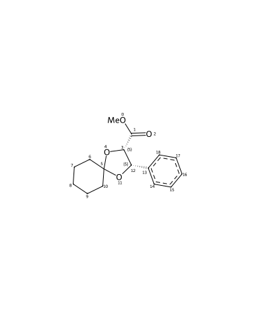 COC(=O)[C@H]1OC2(CCCCC2)O[C@H]1c1ccccc1